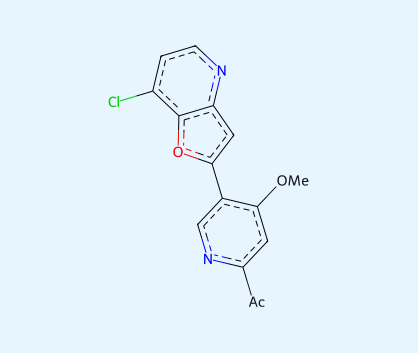 COc1cc(C(C)=O)ncc1-c1cc2nccc(Cl)c2o1